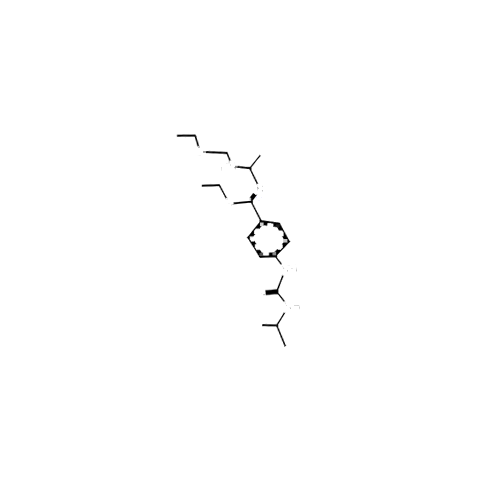 CCOCNC(C)/N=C(\SCC)c1ccc(NC(=S)NC(C)C)cc1